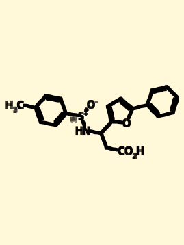 Cc1ccc([S@@+]([O-])NC(CC(=O)O)c2ccc(-c3ccccc3)o2)cc1